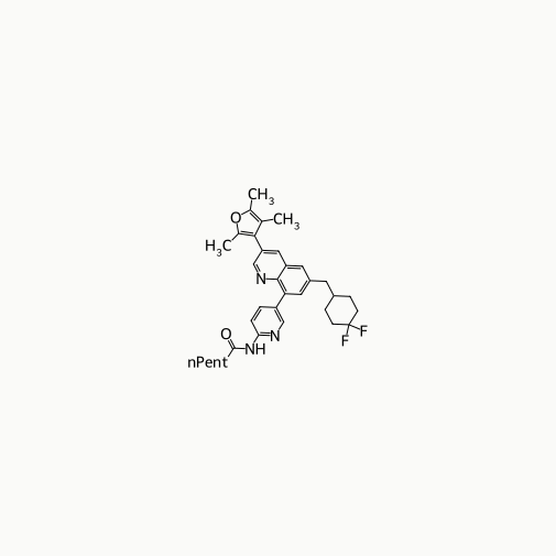 CCCCCC(=O)Nc1ccc(-c2cc(CC3CCC(F)(F)CC3)cc3cc(-c4c(C)oc(C)c4C)cnc23)cn1